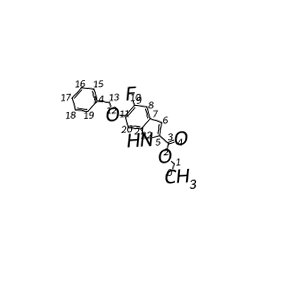 CCOC(=O)c1cc2cc(F)c(OCc3ccccc3)cc2[nH]1